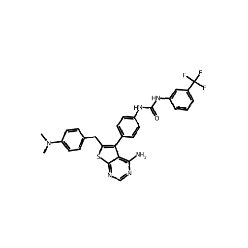 CN(C)c1ccc(Cc2sc3ncnc(N)c3c2-c2ccc(NC(=O)Nc3cccc(C(F)(F)F)c3)cc2)cc1